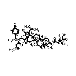 CNCC(=O)N(CC(O)C12CC[C@]3(C)[C@H](CC[C@@H]4[C@@]5(C)CC[C@H](OC(=O)CC(C)(C)C(=O)O)C(C)(C)[C@@H]5CC[C@]43C)C1=C(C(C)C)C(=O)C2)[C@@H](C)c1ccc(Cl)cn1